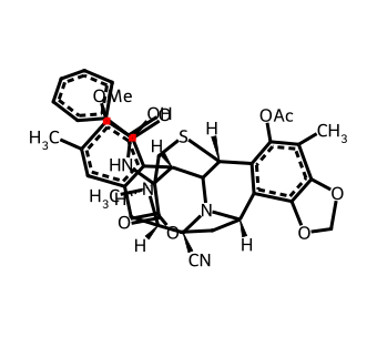 COc1c(C)cc2c(c1O)[C@@H]1C3[C@@H]4SC[C@H](NC(=O)c5ccccc5)C(=O)OC[C@@H](c5c6c(c(C)c(OC(C)=O)c54)OCO6)N3[C@@H](C#N)[C@H](C2)N1C